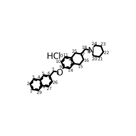 Cl.c1ccc2cc(COc3ccc4c(c3)CCC(CN3CCCCC3)C4)ccc2c1